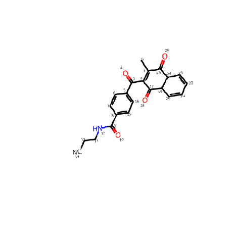 CC1=C(C(=O)c2ccc(C(=O)NCCC#N)cc2)C(=O)C2C=CC=CC2C1=O